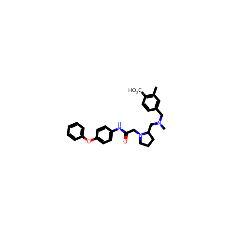 Cc1cc(CN(C)CC2CCCN2CC(=O)Nc2ccc(Oc3ccccc3)cc2)ccc1C(=O)O